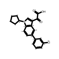 O=C(O)C(=O)c1cn(C2CCCC2)c2ccc(-c3cccc(Cl)c3)cc12